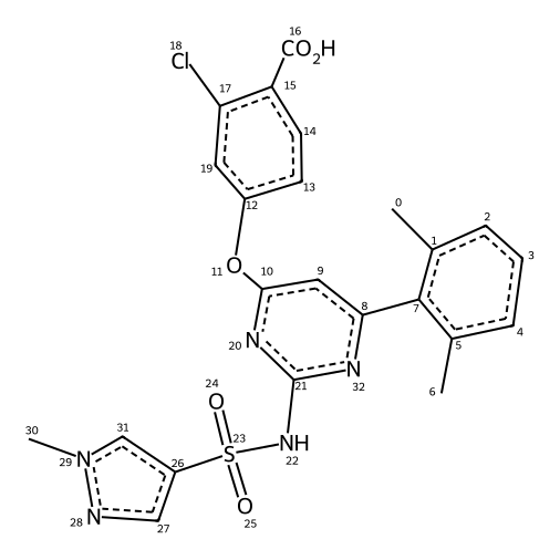 Cc1cccc(C)c1-c1cc(Oc2ccc(C(=O)O)c(Cl)c2)nc(NS(=O)(=O)c2cnn(C)c2)n1